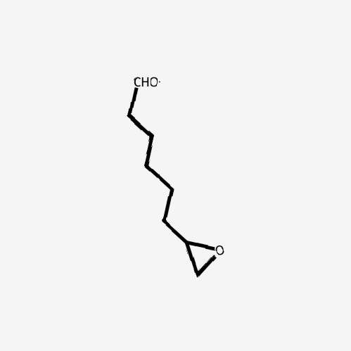 O=[C]CCCCCC1CO1